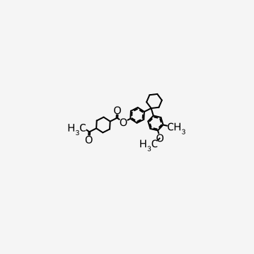 COc1ccc(C2(c3ccc(OC(=O)C4CCC(C(C)=O)CC4)cc3)CCCCC2)cc1C